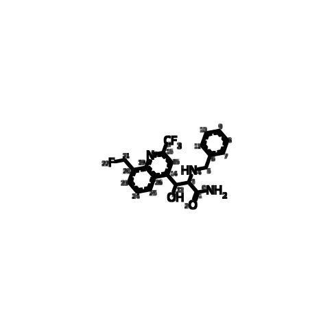 NC(=O)C(NCc1ccccc1)C(O)c1cc(C(F)(F)F)nc2c(CF)cccc12